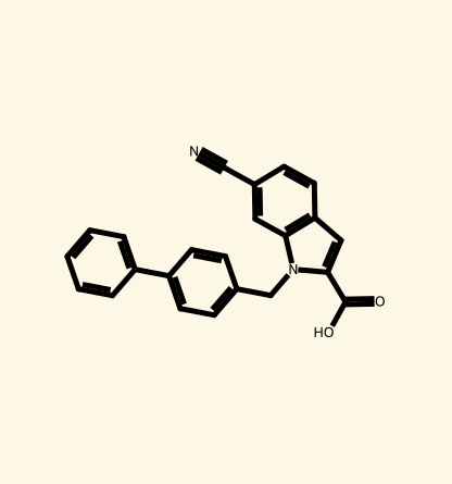 N#Cc1ccc2cc(C(=O)O)n(Cc3ccc(-c4ccccc4)cc3)c2c1